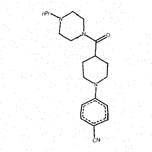 CCCN1CCN(C(=O)C2CCN(c3ccc(C#N)cc3)CC2)CC1